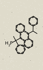 CC(c1ccccc1)c1c2ccccc2c(C(C)(P)c2ccccc2)c2ccccc12